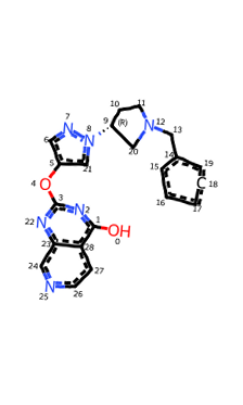 Oc1nc(Oc2cnn([C@@H]3CCN(Cc4ccccc4)C3)c2)nc2cnccc12